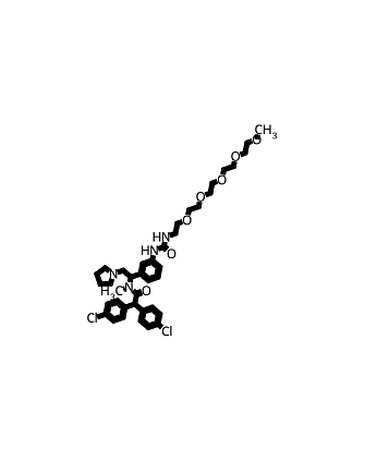 COCCOCCOCCOCCOCCNC(=O)Nc1cccc(C(CN2CCCC2)N(C)C(=O)C(c2ccc(Cl)cc2)c2ccc(Cl)cc2)c1